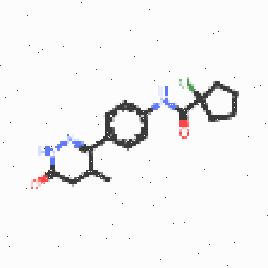 CC1CC(=O)NN=C1c1ccc(NC(=O)C2(Cl)CCCC2)cc1